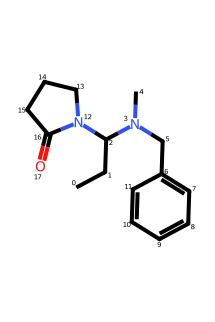 CCC(N(C)Cc1ccccc1)N1CCCC1=O